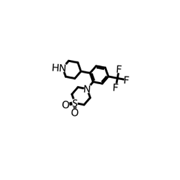 O=S1(=O)CCN(c2cc(C(F)(F)F)ccc2C2CCNCC2)CC1